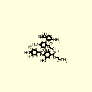 CC(=O)c1ccc(N)cc1.CCC(=O)c1ccc(N)cc1.CCCOC(=O)c1cc(O)c(OC(=O)c2cc(O)c(O)c(O)c2)c(O)c1.[NaH]